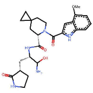 COc1cccc2[nH]c(C(=O)N3CCC4(CC4)C[C@H]3C(=O)N[C@@H](C[C@@H]3CCNC3=O)C(N)O)cc12